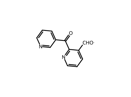 O=[C]c1cccnc1C(=O)c1cccnc1